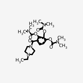 CCN1CCN(C(=O)c2ccc(OC(=O)N(C)C)c(OC(=O)N(C)C)c2OC(=O)N(C)C)CC1